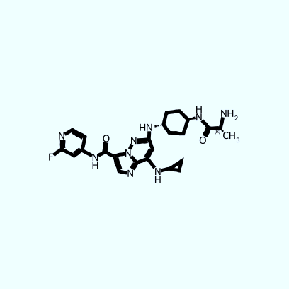 C[C@@H](N)C(=O)N[C@H]1CC[C@H](Nc2cc(NC3CC3)c3ncc(C(=O)Nc4ccnc(F)c4)n3n2)CC1